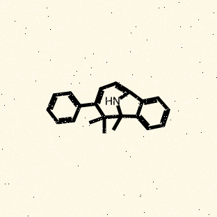 CC1(C)C(c2ccccc2)=CC=C2NC1(C)c1ccccc12